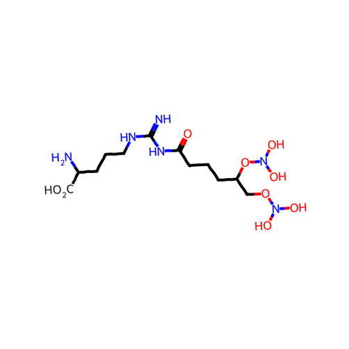 N=C(NCCCC(N)C(=O)O)NC(=O)CCCC(CON(O)O)ON(O)O